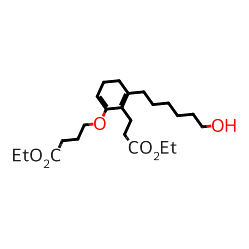 CCOC(=O)CCCOC1=CCCC(CCCCCCO)=C1CCC(=O)OCC